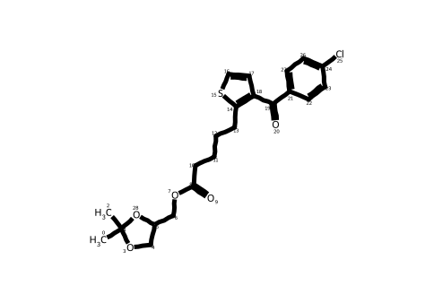 CC1(C)OCC(COC(=O)CCCCc2sccc2C(=O)c2ccc(Cl)cc2)O1